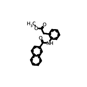 COC(=O)Cc1ccccc1NC(=O)c1ccc2ccccc2c1